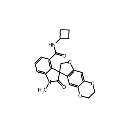 CN1C(=O)C2(COc3cc4c(cc32)OCCO4)c2c(C(=O)NC3CCC3)cccc21